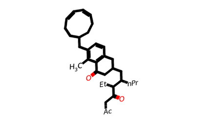 CCCC(CC1CC(=O)c2c(ccc(CC3CC/C=C\C=C/CC3)c2C)C1)C(CC)C(=O)CC(C)=O